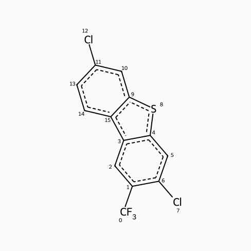 FC(F)(F)c1cc2c(cc1Cl)sc1cc(Cl)ccc12